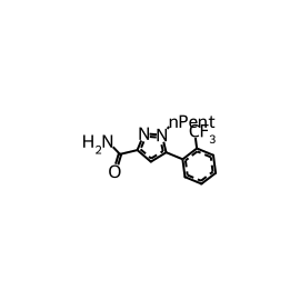 CCCCCn1nc(C(N)=O)cc1-c1ccccc1C(F)(F)F